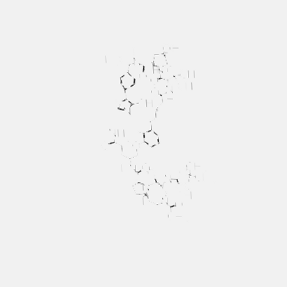 CC(=O)N1CC[C@H]2CC[C@@H](C(=O)NC(CCC(N)=O)COc3cccc(CCCCC(=O)NC(C(=O)N4C[C@H](O)C[C@H]4C(=O)NC(C)c4ccc(-c5scnc5C)cc4)C(C)(C)C)c3F)N2C(=O)[C@@H](NC(=O)OC(C)(C)C)C1